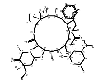 CCCN1C[C@@H](C)[C@@H](O)[C@](C)(O)[C@@H](CC)OC(=O)C(C)[C@H](OC2C[C@@](C)(OC)C(=O)[C@H](C)O2)[C@H](C)[C@@H](O[C@@H]2O[C@H](C)C[C@H](N(C)C)[C@H]2OC(=O)OCc2ccccc2)[C@](C)(O)C[C@H]1C